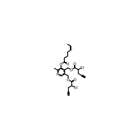 C#CCC(CC)C(=O)OCc1cnc(C)c(OC(=O)CCC/C=C\C)c1COC(=O)C(CC)CC#C